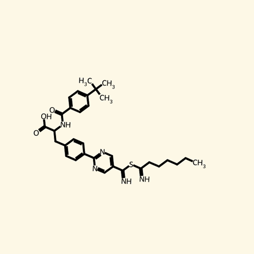 CCCCCCC(=N)SC(=N)c1cnc(-c2ccc(CC(NC(=O)c3ccc(C(C)(C)C)cc3)C(=O)O)cc2)nc1